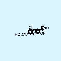 O=C(O)COc1cc(Cl)c(Cc2ccc(O)c(-c3cc[nH]n3)c2)c(Cl)c1